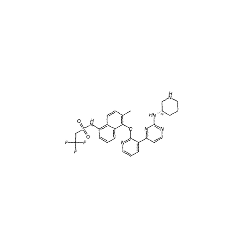 Cc1ccc2c(NS(=O)(=O)CC(F)(F)F)cccc2c1Oc1ncccc1-c1ccnc(N[C@H]2CCCNC2)n1